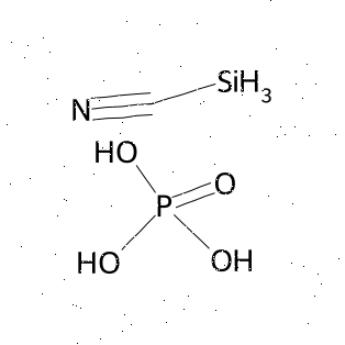 N#C[SiH3].O=P(O)(O)O